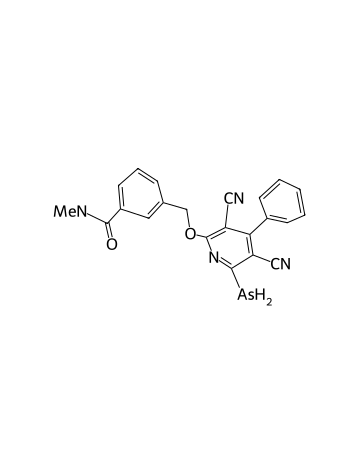 CNC(=O)c1cccc(COc2nc([AsH2])c(C#N)c(-c3ccccc3)c2C#N)c1